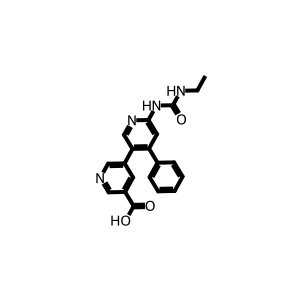 CCNC(=O)Nc1cc(-c2ccccc2)c(-c2cncc(C(=O)O)c2)cn1